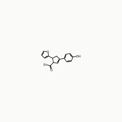 CCC(=O)C1C=C(c2ccc(O)cc2)CC1c1ccco1